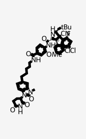 COc1cc(C(=O)NCCCCCc2ccc3c(c2)n(C)c(=O)n3C2CCC(=O)NC2=O)ccc1NC(=O)[C@@H]1N[C@@H](CC(C)(C)C)[C@](C#N)(c2ccc(Cl)cc2F)[C@H]1c1cccc(Cl)c1F